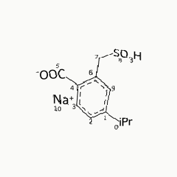 CC(C)c1ccc(C(=O)[O-])c(CS(=O)(=O)O)c1.[Na+]